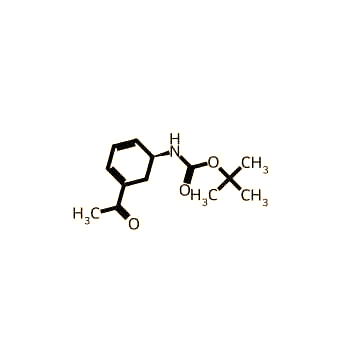 CC(=O)C1=CC=C[C@@H](NC(=O)OC(C)(C)C)C1